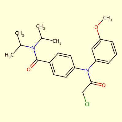 COc1cccc(N(C(=O)CCl)c2ccc(C(=O)N(C(C)C)C(C)C)cc2)c1